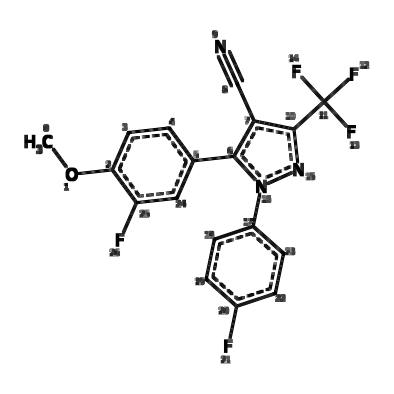 COc1ccc(-c2c(C#N)c(C(F)(F)F)nn2-c2ccc(F)cc2)cc1F